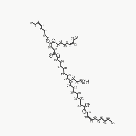 CC/C=C\CCCCOC(CCC(=O)OCCCCCCCN(CCCO)CCCCCCCC(=O)OC/C=C\CCCCCC)OCCCC/C=C\CC